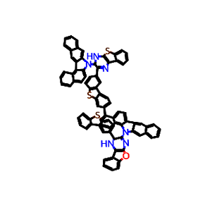 c1ccc2cc3c(cc2c1)c1ccc2c(-c4ccc5c(c4)sc4ccc(C6=Nc7c(sc8ccccc78)NC6n6c7cc8ccccc8cc7c7c8ccccc8ccc76)cc45)cccc2c1n3C1=Nc2oc3ccccc3c2NC1c1ccc2sc3ccccc3c2c1